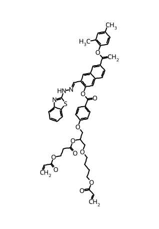 C=CC(=O)OCCCCOCC(COc1ccc(C(=O)Oc2cc3ccc(C(=C)Oc4ccc(C)cc4C)cc3cc2/C=N/Nc2nc3ccccc3s2)cc1)OC(=O)CCOC(=O)C=C